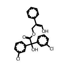 O=C(OCC(=CO)c1ccccc1)C(O)(c1cccc(Cl)c1)c1cccc(Cl)c1